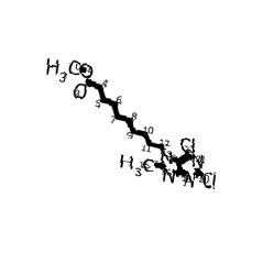 COC(=O)CCCCCCCCCn1c(C)nc2nc(Cl)nc(Cl)c21